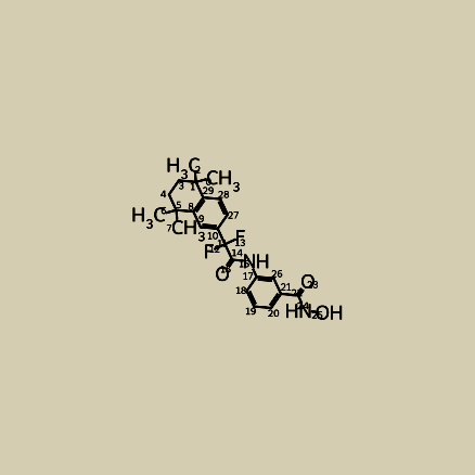 CC1(C)CCC(C)(C)c2cc(C(F)(F)C(=O)Nc3cccc(C(=O)NO)c3)ccc21